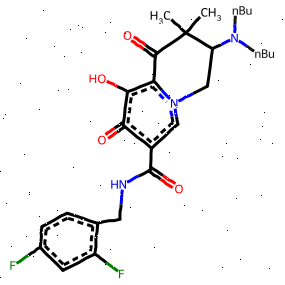 CCCCN(CCCC)C1Cn2cc(C(=O)NCc3ccc(F)cc3F)c(=O)c(O)c2C(=O)C1(C)C